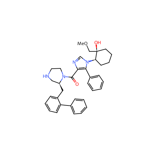 COC[C@]1(O)CCCC[C@H]1n1cnc(C(=O)N2CCNC[C@@H]2Cc2ccccc2-c2ccccc2)c1-c1ccccc1